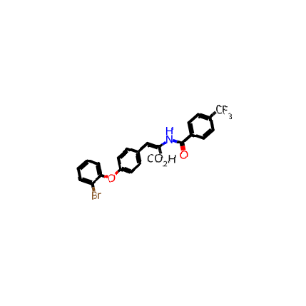 O=C(O)/C(=C\c1ccc(Oc2ccccc2Br)cc1)NC(=O)c1ccc(C(F)(F)F)cc1